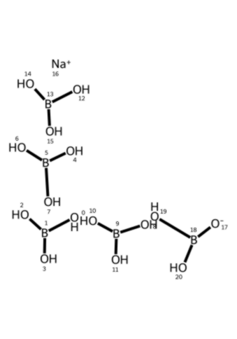 OB(O)O.OB(O)O.OB(O)O.OB(O)O.[Na+].[O-]B(O)O